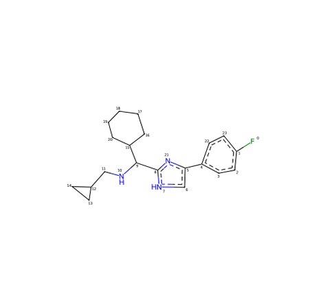 Fc1ccc(-c2c[nH]c(C(NCC3CC3)C3CCCCC3)n2)cc1